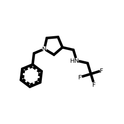 FC(F)(F)CNCC1CCN(Cc2ccccc2)C1